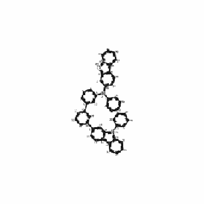 c1ccc(N(c2cccc(-c3cccc(-c4ccc5c6ccccc6n(-c6ccccc6)c5c4)c3)c2)c2ccc3c(c2)oc2ccccc23)cc1